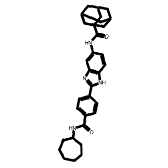 O=C(NC1CCCCCC1)c1ccc(-c2nc3cc(NC(=O)C45CC6CC(CC(C6)C4)C5)ccc3[nH]2)cc1